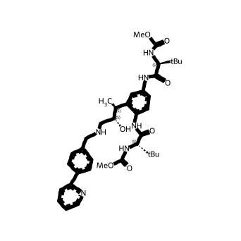 COC(=O)N[C@H](C(=O)Nc1ccc(NC(=O)[C@@H](NC(=O)OC)C(C)(C)C)c([C@H](C)[C@H](O)CNCc2ccc(-c3ccccn3)cc2)c1)C(C)(C)C